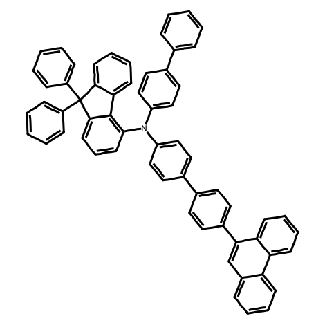 c1ccc(-c2ccc(N(c3ccc(-c4ccc(-c5cc6ccccc6c6ccccc56)cc4)cc3)c3cccc4c3-c3ccccc3C4(c3ccccc3)c3ccccc3)cc2)cc1